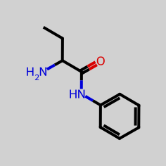 CCC(N)C(=O)Nc1ccccc1